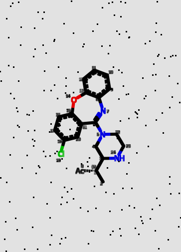 CC(=O)[C@@H](C)C1CN(C2=Nc3ccccc3Oc3ccc(Cl)cc32)CCN1